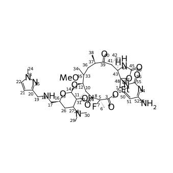 CC[C@H]1OC(=O)[C@@](C)(F)C(=O)[C@H](C)[C@@H](O[C@@H]2O[C@H](CNCc3ccn(C)n3)CC(N(C)C)C2O)[C@](C)(OC)C[C@@H](C)C(=O)[C@H](C)[C@H]2NC(=O)O[C@@]21n1ccc(N)nc1=O